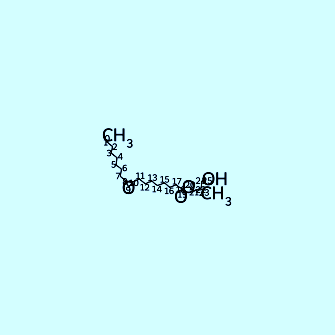 CCCCCCCCC1OC1CCCCCCCC(=O)OCC(C)CO